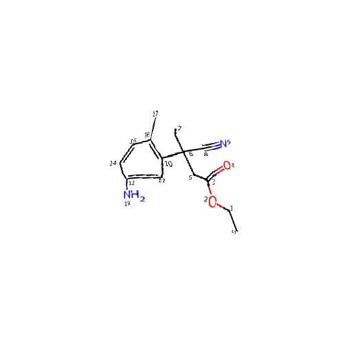 CCOC(=O)CC(C)(C#N)c1cc(N)ccc1C